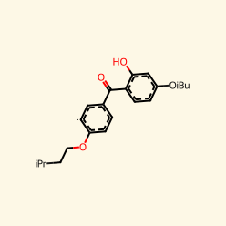 CC(C)CCOc1[c]cc(C(=O)c2ccc(OCC(C)C)cc2O)cc1